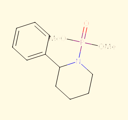 COP(=O)(OC)N1CCCCC1c1[c]cccc1